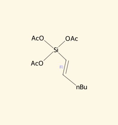 CCCC/C=C/[Si](OC(C)=O)(OC(C)=O)OC(C)=O